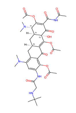 CC(=O)NC(=O)C1=C(OC(C)=O)[C@@H](N(C)C)[C@@H]2C[C@@H]3Cc4c(N(C)C)cc(NC(=O)CNC(C)(C)C)c(OC(C)=O)c4C(=O)C3=C(OC(C)=O)[C@]2(O)C1=O